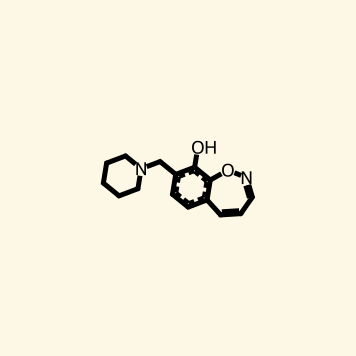 Oc1c(CN2CCCCC2)ccc2c1ON=CC=C2